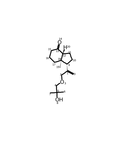 C=C(COCC(C)(C)O)[C@H]1CC[C@H]2C(=O)CCC[C@]12C